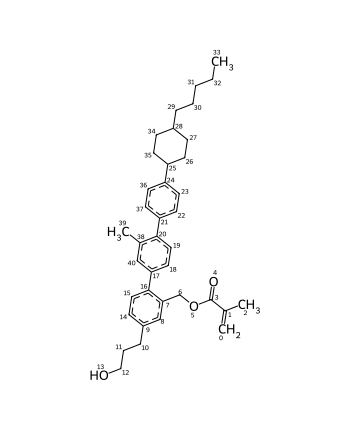 C=C(C)C(=O)OCc1cc(CCCO)ccc1-c1ccc(-c2ccc(C3CCC(CCCCC)CC3)cc2)c(C)c1